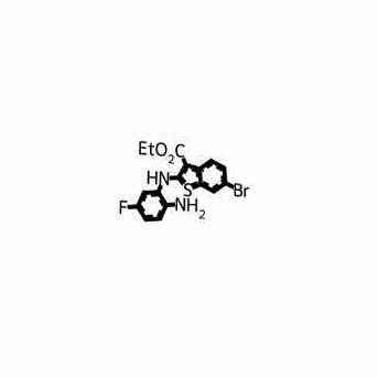 CCOC(=O)c1c(Nc2cc(F)ccc2N)sc2cc(Br)ccc12